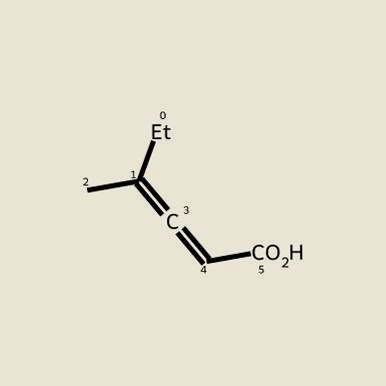 CCC(C)=C=CC(=O)O